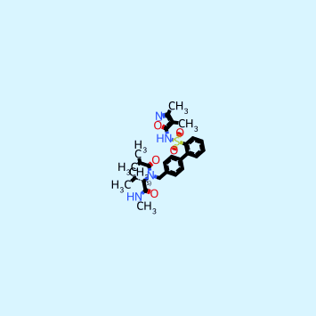 CNC(=O)[C@H](C(C)C)N(Cc1ccc(-c2ccccc2S(=O)(=O)Nc2onc(C)c2C)cc1)C(=O)C(C)C